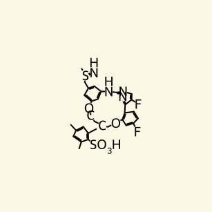 CS(=N)Cc1cc2cc(c1)OCCCCOc1cc(F)ccc1-c1nc(ncc1F)N2.Cc1cc(C)c(S(=O)(=O)O)c(C)c1